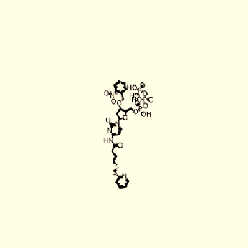 O=C(CCCSSc1ccccn1)Nc1ccn([C@H]2C[C@@H](OCc3ccccc3[N+](=O)[O-])C(COP(=O)(O)OP(=O)(O)OP(=O)(O)O)O2)c(=O)n1